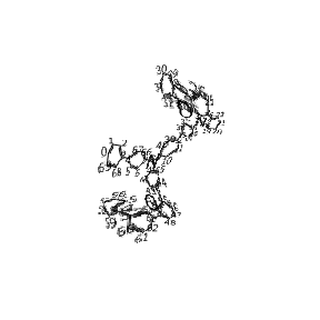 c1ccc(-c2ccc(N(c3ccc(-c4ccc(-n5c6ccccc6c6ccc7c8ccccc8oc7c65)cc4)cc3)c3ccc(-c4cccc5c4oc4c(-c6ccccc6)cccc45)cc3)cc2)cc1